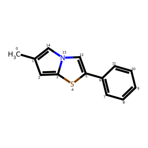 Cc1cc2sc(-c3ccccc3)cn2c1